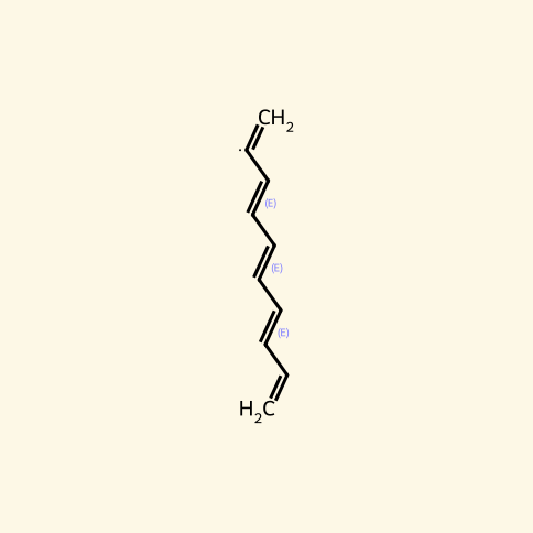 C=[C]/C=C/C=C/C=C/C=C